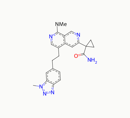 CNc1ncc(CCc2ccc3nnn(C)c3c2)c2cc(C3(C(N)=O)CC3)ncc12